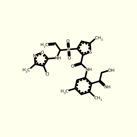 C=CC(Nc1onc(C)c1Cl)S(=O)(=O)c1cc(C)sc1C(=O)Nc1cc(C)cc(C)c1C(=N)CO